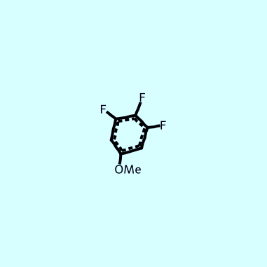 [CH2-][OH+]c1cc(F)c(F)c(F)c1